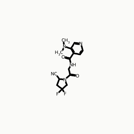 CN(C)c1cnccc1C(=O)NCC(=O)N1CC(F)(F)CC1C#N